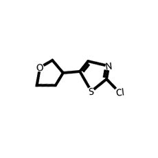 Clc1ncc(C2CCOC2)s1